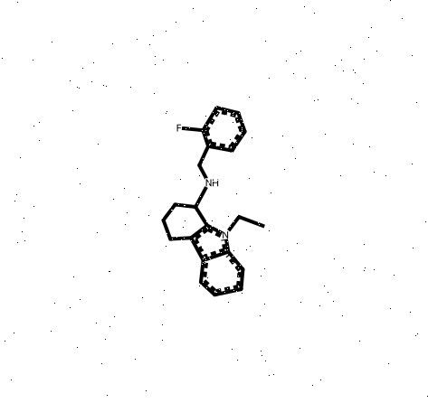 CCn1c2c(c3ccccc31)CCCC2NCc1ccccc1F